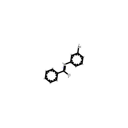 CC(=O)c1cccc(/N=C(\Cl)c2ccccc2)c1